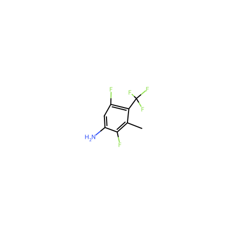 Cc1c(F)c(N)cc(F)c1C(F)(F)F